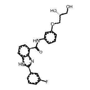 O=C(Nc1cccc(OC[C@H](O)CO)c1)c1cccc2[nH]c(-c3cccc(F)c3)nc12